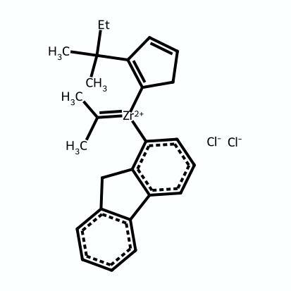 CCC(C)(C)C1=[C]([Zr+2](=[C](C)C)[c]2cccc3c2Cc2ccccc2-3)CC=C1.[Cl-].[Cl-]